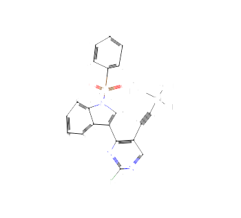 C[Si](C)(C)C#Cc1cnc(Cl)nc1-c1cn(S(=O)(=O)c2ccccc2)c2ccccc12